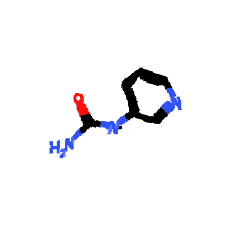 NC(=O)[N]c1cccnc1